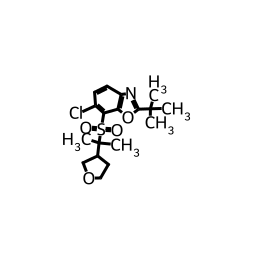 CC(C)(C)c1nc2ccc(Cl)c(S(=O)(=O)C(C)(C)C3CCOC3)c2o1